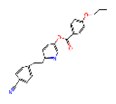 CCCOc1ccc(C(=O)Oc2ccc(CCc3ccc(C#N)cc3)nc2)cc1